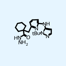 CC(C)(C)n1nccc1Nc1cccc(CC2(C(=O)NN)CCCCC2)n1